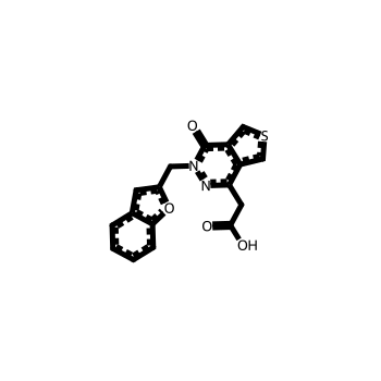 O=C(O)Cc1nn(Cc2cc3ccccc3o2)c(=O)c2cscc12